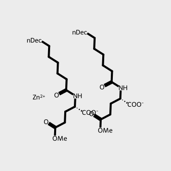 CCCCCCCCCCCCCCCC(=O)N[C@@H](CCC(=O)OC)C(=O)[O-].CCCCCCCCCCCCCCCC(=O)N[C@@H](CCC(=O)OC)C(=O)[O-].[Zn+2]